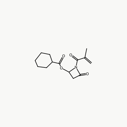 C=C(C)C(=O)N1C(=O)CC1OC(=O)C1CCCCC1